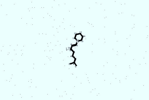 CC(C)CCC[C@H](C)C=CN1CCCCC1